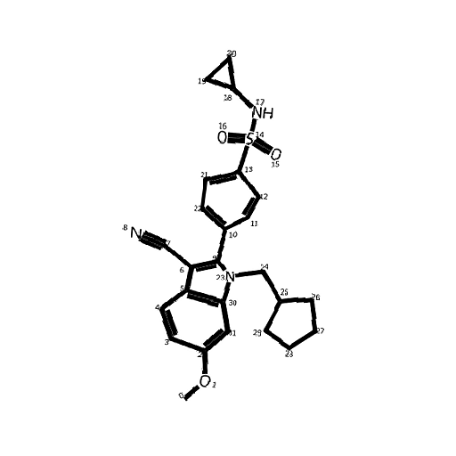 COc1ccc2c(C#N)c(-c3ccc(S(=O)(=O)NC4CC4)cc3)n(CC3CCCC3)c2c1